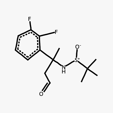 CC(CC=O)(N[S+]([O-])C(C)(C)C)c1cccc(F)c1F